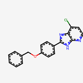 Clc1ccnc2[nH]c(-c3ccc(OCc4ccccc4)cc3)nc12